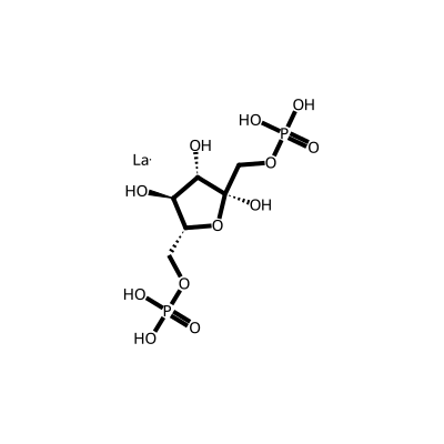 O=P(O)(O)OC[C@H]1O[C@](O)(COP(=O)(O)O)[C@@H](O)[C@@H]1O.[La]